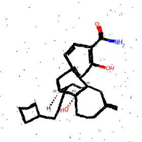 C=C1CC[C@@]2(O)[C@H]3Cc4ccc(C(N)=O)c(O)c4[C@@]2(CCC3CC2CCC2)C1